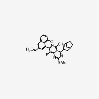 C=Cc1cc(-c2nc(C)c3c(C4CC5CCC(C5)C4)nc(SC)nc3c2F)c2c(Cl)cccc2c1